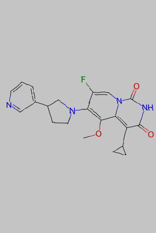 COc1c(N2CCC(c3cccnc3)C2)c(F)cn2c(=O)[nH]c(=O)c(C3CC3)c12